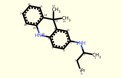 CC(C)CC(C)Nc1ccc2c(c1)C(C)(C)c1ccccc1N2